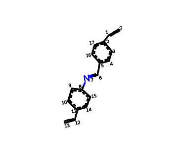 C=Cc1ccc(C=Nc2ccc(C=C)cc2)cc1